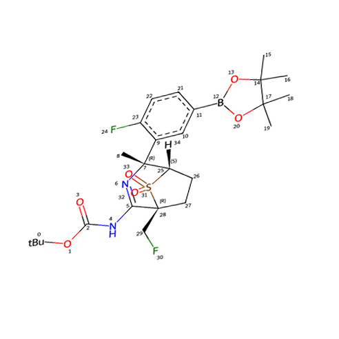 CC(C)(C)OC(=O)NC1=N[C@](C)(c2cc(B3OC(C)(C)C(C)(C)O3)ccc2F)[C@@H]2CC[C@@]1(CF)S2(=O)=O